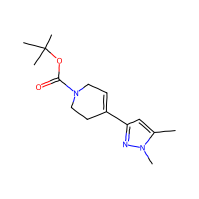 Cc1cc(C2=CCN(C(=O)OC(C)(C)C)CC2)nn1C